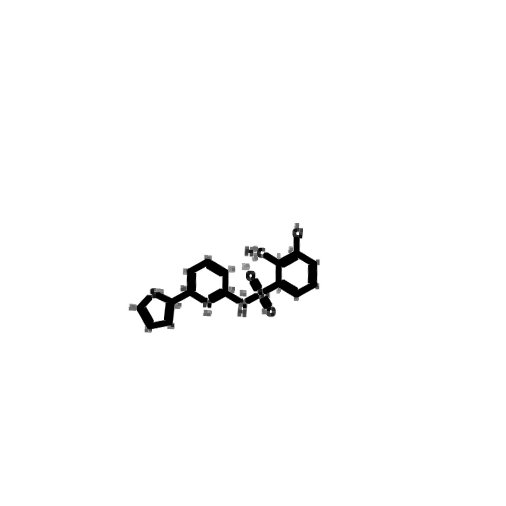 Cc1c(Cl)cccc1S(=O)(=O)Nc1cccc(-c2cccs2)n1